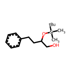 CC(C)(C)[Si](C)(C)OC(CO)CCc1ccccc1